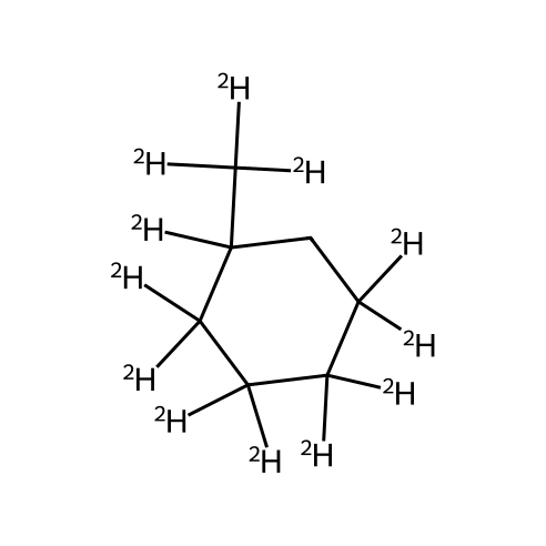 [2H]C([2H])([2H])C1([2H])CC([2H])([2H])C([2H])([2H])C([2H])([2H])C1([2H])[2H]